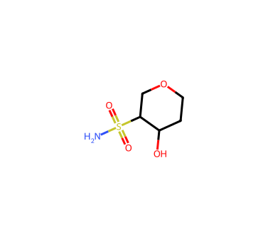 NS(=O)(=O)C1COCCC1O